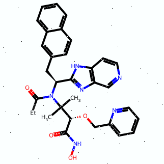 CCC(=O)N([C@@H](Cc1ccc2ccccc2c1)c1nc2cnccc2[nH]1)C(C)(C)[C@H](OCc1ccccn1)C(=O)NO